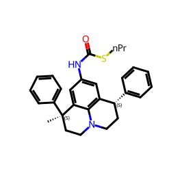 CCCSC(=O)Nc1cc2c3c(c1)[C@](C)(c1ccccc1)CCN3CC[C@H]2c1ccccc1